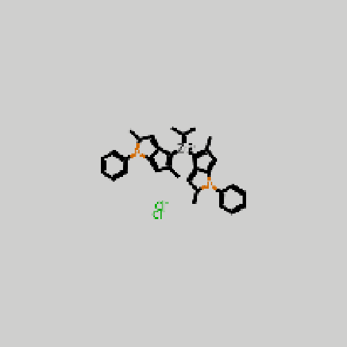 CC1=[C]([Zr+2]([C]2=C(C)C=C3C2=CC(C)P3c2ccccc2)=[C](C)C)C2=CC(C)P(c3ccccc3)C2=C1.[Cl-].[Cl-]